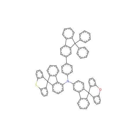 c1ccc(C2(c3ccccc3)c3ccccc3-c3ccc(-c4ccc(N(c5ccc6c(c5)-c5ccccc5C65c6ccccc6Oc6ccccc65)c5cccc6c5-c5ccccc5C65c6ccccc6Sc6ccccc65)cc4)cc32)cc1